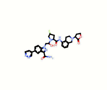 NC(=O)c1nn(CC(O)N2CC(F)CC2C(=O)Nc2cccc3c2CCN(C2CCOC2=O)C3)c2ccc(-c3ccnnc3)cc12